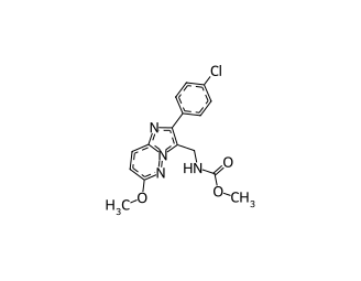 COC(=O)NCc1c(-c2ccc(Cl)cc2)nc2ccc(OC)nn12